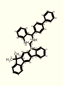 CC1(C)c2ccccc2-c2cc3c4ccccc4n(CNC(c4ccc(-c5ccccc5)cc4)c4ccccc4N)c3cc21